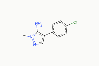 Cn1ncc(-c2ccc(Cl)cc2)c1N